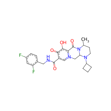 CC1CCN(C2CCC2)C2Cn3cc(C(=O)NCc4ccc(F)cc4F)c(=O)c(O)c3C(=O)N12